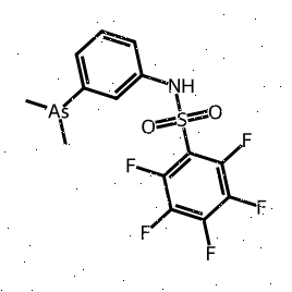 C[As](C)c1cccc(NS(=O)(=O)c2c(F)c(F)c(F)c(F)c2F)c1